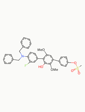 COc1cc(-c2ccc(OS(C)(=O)=O)cc2)c(OC)c(O)c1-c1ccc(N(Cc2ccccc2)Cc2ccccc2)c(F)c1